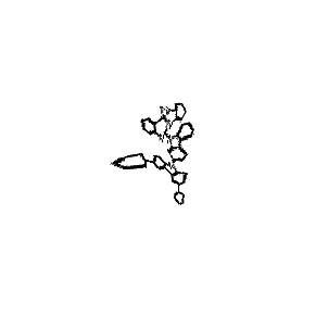 c1ccc(-c2ccc3c(c2)c2cc(-c4ccccc4)ccc2n3-c2ccc3c4ccccc4n(-c4nc5ccccc5c5nc6ccccc6n45)c3c2)cc1